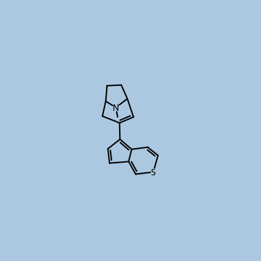 CN1C2C=C(c3ccc4csccc3-4)CC1CC2